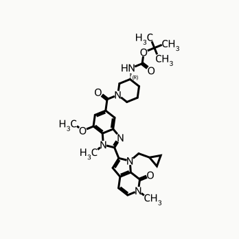 COc1cc(C(=O)N2CCC[C@@H](NC(=O)OC(C)(C)C)C2)cc2nc(-c3cc4ccn(C)c(=O)c4n3CC3CC3)n(C)c12